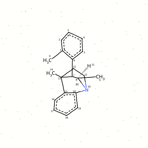 Cc1ccccc1C1[C@@H](C)N2CCC1(C)c1ccccc12